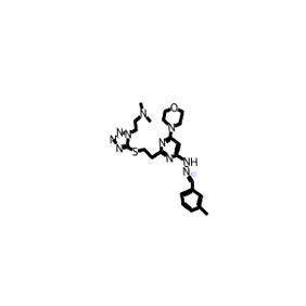 Cc1cccc(/C=N/Nc2cc(N3CCOCC3)nc(CCSc3nnnn3CCN(C)C)n2)c1